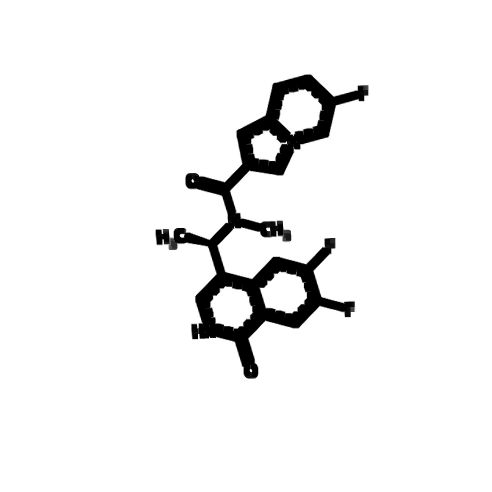 C[C@H](c1c[nH]c(=O)c2cc(F)c(F)cc12)N(C)C(=O)c1cc2ccc(F)cn2c1